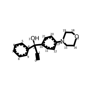 C#C[C@](O)(c1ccccc1)c1ccc(N2CCOCC2)cc1